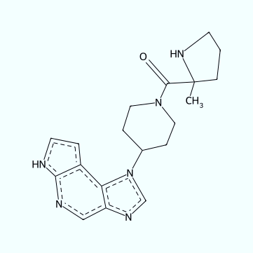 CC1(C(=O)N2CCC(n3cnc4cnc5[nH]ccc5c43)CC2)CCCN1